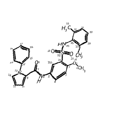 COc1ccc(NC(=O)c2cccn2-c2ccccc2)cc1S(=O)(=O)Nc1c(C)cccc1C